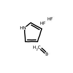 F.F.[B]=C.c1cc[nH]c1